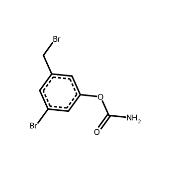 NC(=O)Oc1cc(Br)cc(CBr)c1